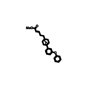 COC(=O)C=CCCC12CCC(c3cccc(Oc4ccccc4)c3)(CC1)OC2